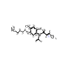 C=C(C)N(C(=O)/C=C(\C)C(F)(F)F)c1cc(SCCCCC(C)=O)c(Cl)cc1F